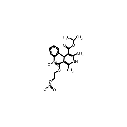 CC1=C(C(=O)OCCO[N+](=O)[O-])C(c2ccccc2[N+](=O)[O-])C(C(=O)OC(C)C)=C(C)N1